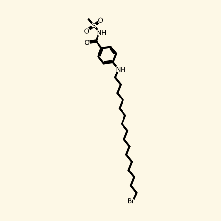 CS(=O)(=O)NC(=O)c1ccc(NCCCCCCCCCCCCCCCCBr)cc1